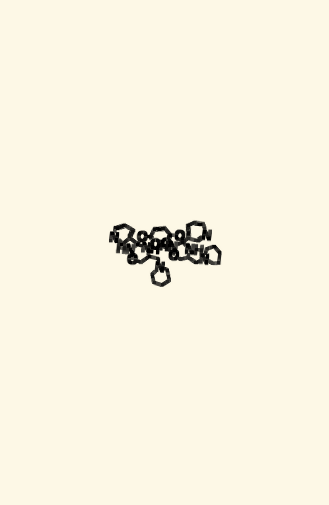 O=C(/C=C\C(=O)OC1(c2cccnc2)NOCC(CN2CCCCC2)N1)OC1(c2cccnc2)NOCC(CN2CCCCC2)N1